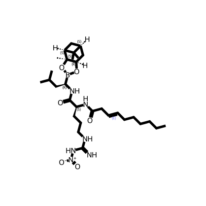 CCCCCC/C=C/CC(=O)N[C@@H](CCCNC(=N)N[N+](=O)[O-])C(=O)N[C@@H](CC(C)C)B1O[C@@H]2C[C@@H]3C[C@@H](C3(C)C)[C@]2(C)O1